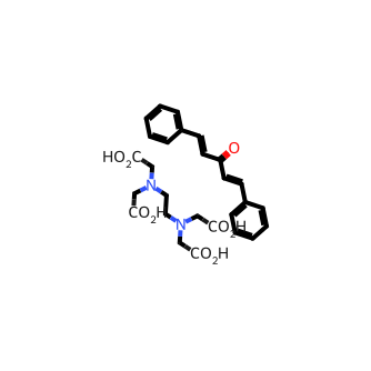 O=C(C=Cc1ccccc1)C=Cc1ccccc1.O=C(O)CN(CCN(CC(=O)O)CC(=O)O)CC(=O)O